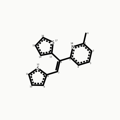 Cc1cccc(/C(=C/c2cccs2)c2cccs2)n1